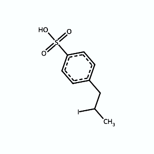 CC(I)Cc1ccc(S(=O)(=O)O)cc1